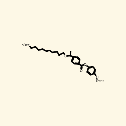 CCCCCCCCCCCCCCCCCCCCOC(C)c1ccc(C(=O)Oc2ccc(OC(C)CCC)cc2)cc1